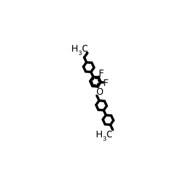 CCCC1CCC(c2ccc(OCC3CCC(C4CCC(CC)CC4)CC3)c(F)c2F)CC1